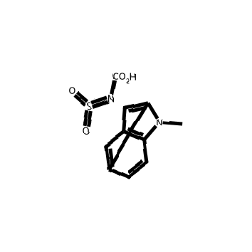 Cn1c2cc3cc-2ccc31.O=C(O)N=S(=O)=O